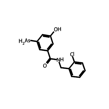 O=C(NCc1ccccc1Cl)c1cc(O)cc([AsH2])c1